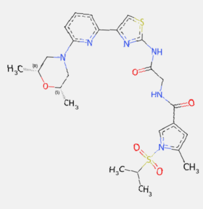 Cc1cc(C(=O)NCC(=O)Nc2nc(-c3cccc(N4C[C@@H](C)O[C@@H](C)C4)n3)cs2)cn1S(=O)(=O)C(C)C